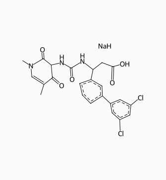 CC1=CN(C)C(=O)C(NC(=O)NC(CC(=O)O)c2cccc(-c3cc(Cl)cc(Cl)c3)c2)C1=O.[NaH]